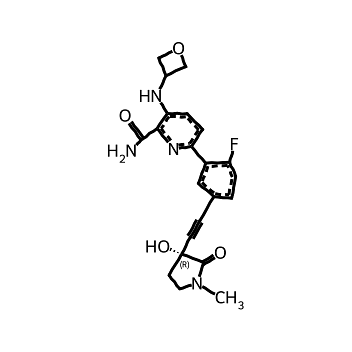 CN1CC[C@@](O)(C#Cc2ccc(F)c(-c3ccc(NC4COC4)c(C(N)=O)n3)c2)C1=O